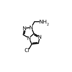 NCn1ncn2c(Cl)cnc12